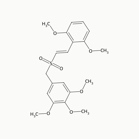 COc1cccc(OC)c1C=CS(=O)(=O)Cc1cc(OC)c(OC)c(OC)c1